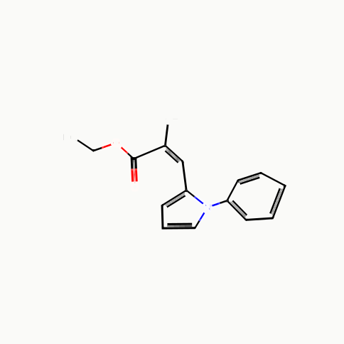 CCOC(=O)/C(C)=C\c1cccn1-c1ccccc1